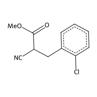 COC(=O)C(C#N)Cc1ccccc1Cl